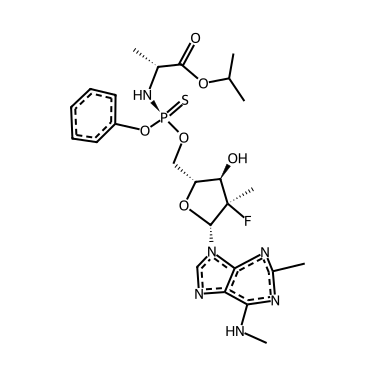 CNc1nc(C)nc2c1ncn2[C@@H]1O[C@H](CO[P@](=S)(N[C@H](C)C(=O)OC(C)C)Oc2ccccc2)[C@@H](O)[C@@]1(C)F